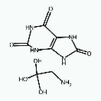 NCC(O)(O)O.O=c1[nH]c(=O)c2[nH]c(=O)[nH]c2[nH]1